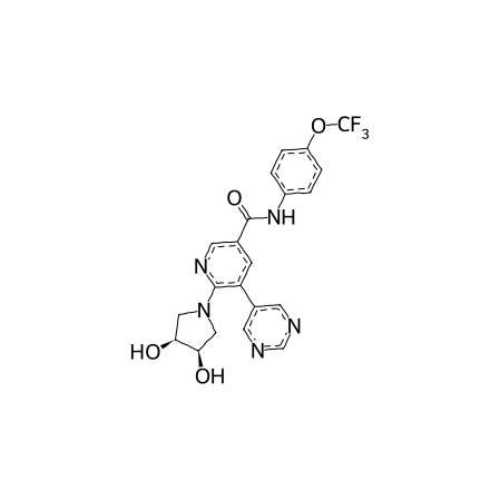 O=C(Nc1ccc(OC(F)(F)F)cc1)c1cnc(N2C[C@@H](O)[C@@H](O)C2)c(-c2cncnc2)c1